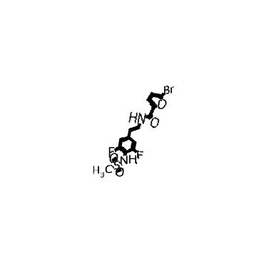 CS(=O)(=O)Nc1c(F)cc(CCNC(=O)c2ccc(Br)o2)cc1F